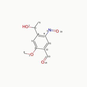 COc1cc(C(C)O)c(N=O)cc1C=O